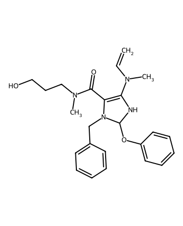 C=CN(C)C1=C(C(=O)N(C)CCCO)N(Cc2ccccc2)C(Oc2ccccc2)N1